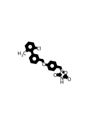 Cc1cccc(Cl)c1-c1cccc(COc2ccc(Cn3oc(=O)[nH]c3=O)cc2)c1